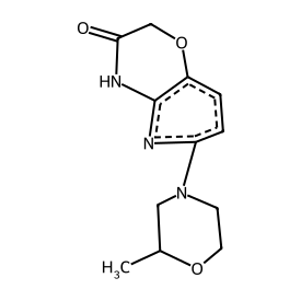 CC1CN(c2ccc3c(n2)NC(=O)CO3)CCO1